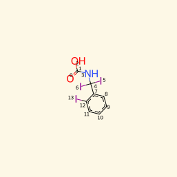 O=C(O)NC(I)(I)c1ccccc1I